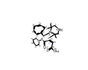 CC1(C)CNCC(C)(C)N1Cc1ccccc1.O=C(O)/C=C\C(=O)ON1CCCCC1